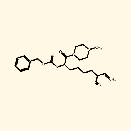 C=CC(N)CCCC[C@H](NC(=O)OCc1ccccc1)C(=O)N1CCN(C)CC1